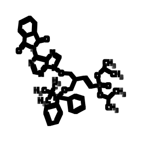 CC(C)OP(=O)(/C=C/C(COn1cnc2c(N3C(=O)c4ccccc4C3=O)ncnc21)CO[Si](c1ccccc1)(c1ccccc1)C(C)(C)C)OC(C)C